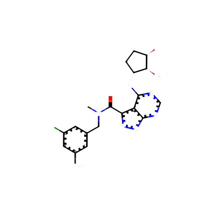 COc1cc(F)cc(CN(C)C(=O)c2n[nH]c3ncnc(N[C@@H]4CC[C@@H](O)[C@H]4O)c23)c1